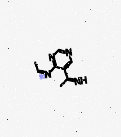 C/C=N\c1ncncc1C(C)=N